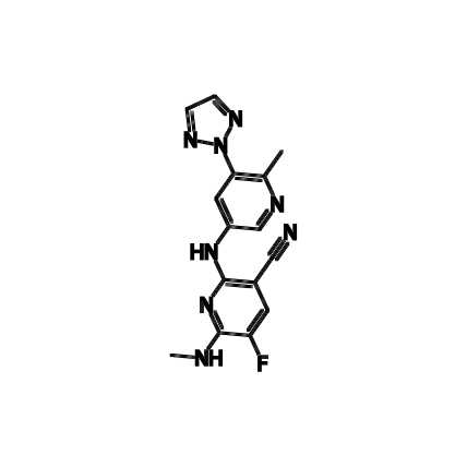 CNc1nc(Nc2cnc(C)c(-n3nccn3)c2)c(C#N)cc1F